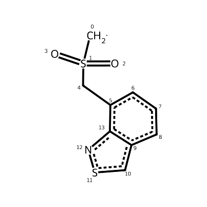 [CH2]S(=O)(=O)Cc1cccc2csnc12